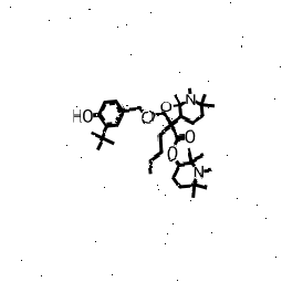 CCCCC(C(=O)OCc1ccc(O)c(C(C)(C)C)c1)(C(=O)OC1CCC(C)(C)N(C)C1(C)C)C1CCC(C)(C)N(C)C1(C)C